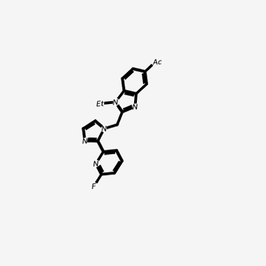 CCn1c(Cn2ccnc2-c2cccc(F)n2)nc2cc(C(C)=O)ccc21